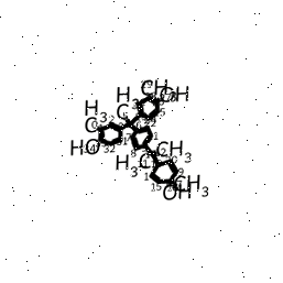 Cc1cc(C(C)(c2ccc(C(C)(C)C3C=CC(C)(O)C=C3)cc2)c2ccc(O)c(C)c2)ccc1O